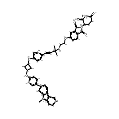 Cn1c2ccncc2c2ccc(-c3ccc(OC4CC(Oc5ccc(C#CC(C)(C)OCCOc6ccc7c(c6)C(=O)N(C6CCC(=O)NC6=O)C7=O)nc5)C4)nc3)cc21